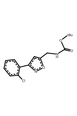 CC(C)(C)OC(=O)NCc1cc(-c2ccccc2Cl)no1